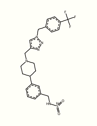 O=[SH](=O)NCc1cccc(C2CCN(Cc3cn(Cc4ccc(C(F)(F)F)cc4)nn3)CC2)c1